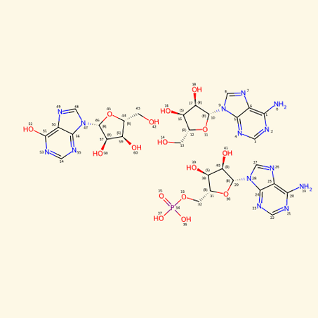 Nc1ncnc2c1ncn2[C@@H]1O[C@H](CO)[C@@H](O)[C@H]1O.Nc1ncnc2c1ncn2[C@@H]1O[C@H](COP(=O)(O)O)[C@@H](O)[C@H]1O.OC[C@H]1O[C@@H](n2cnc3c(O)ncnc32)[C@H](O)[C@@H]1O